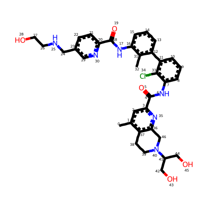 Cc1cc(C(=O)Nc2cccc(-c3cccc(NC(=O)c4ccc(CNCCO)cn4)c3C)c2Cl)nc2c1CCN(C(CO)CO)C2